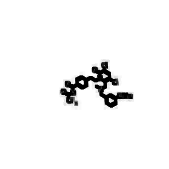 COc1cccc(CN(C)Cc2c(Cl)cc(Cl)c(=O)n2CCc2ccc(C(=O)OC(=O)C(F)(F)F)cc2)c1